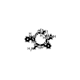 CCC(CC)C1CC(=O)N[C@@H](Cc2c[nH]cn2)C(=O)NC(Cc2ccccc2)C(=O)N[C@@H](CCCN)C(=O)N[C@@H](Cc2c[nH]c3ccccc23)C(=O)NCCC(=O)N1